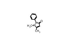 Cc1[c]c(=O)n(-c2ccccc2)n1C